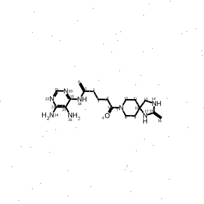 C=C(CCCC(=O)N1CCC2(CC1)CNC(=C)N2)Nc1ncnc(N)c1N